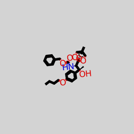 CCCCOc1ccc([C@@](C)(O)[C@H](NC(=O)OCc2ccccc2)C23OCC(C)(CO2)CO3)cc1